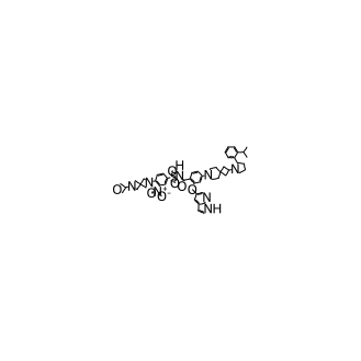 CC(C)c1ccccc1C1CCCN1C1CC2(CCN(c3ccc(C(=O)NS(=O)(=O)c4ccc(N5CC6(C5)CN(C5COC5)C6)c([N+](=O)[O-])c4)c(Oc4cnc5[nH]ccc5c4)c3)CC2)C1